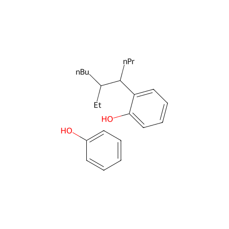 CCCCC(CC)C(CCC)c1ccccc1O.Oc1ccccc1